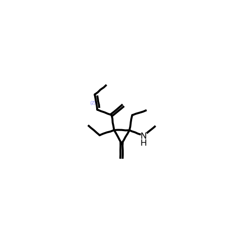 C=C(/C=C\C)C1(CC)C(=C)C1(CC)NC